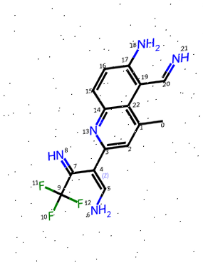 Cc1cc(/C(=C/N)C(=N)C(F)(F)F)nc2ccc(N)c(C=N)c12